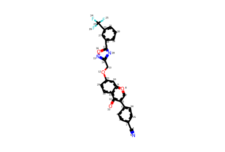 N#Cc1ccc(-c2coc3cc(OCc4noc(-c5cccc(C(F)(F)F)c5)n4)ccc3c2=O)cc1